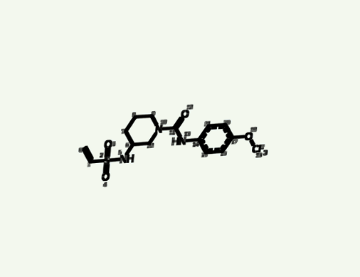 C=CS(=O)(=O)NC1CCCN(C(=O)Nc2ccc(OC(F)(F)F)cc2)C1